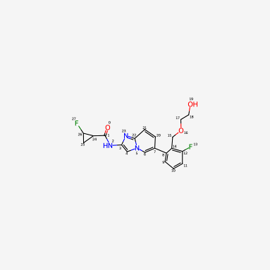 O=C(Nc1cn2cc(-c3cccc(F)c3COCCO)ccc2n1)C1CC1F